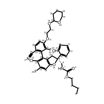 CCCCOC(=O)NC[C@]1(c2ccccc2)Oc2cc(F)c(Cl)c(-c3c(C#N)ccc(OCCOC4CCCCO4)c3F)c2[C@@H]1O